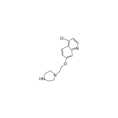 Clc1ccnc2cc(OCCN3CCNCC3)ccc12